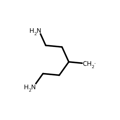 [CH2]C(CCN)CCN